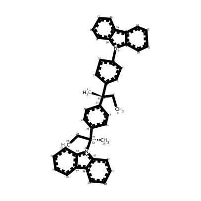 CC[C@@](C)(c1ccc(-n2c3ccccc3c3ccccc32)cc1)c1ccc([C@](C)(CC)n2c3ccccc3c3ccccc32)cc1